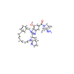 COc1cc(C(=O)N2C[C@@H](C)[C@@H](N)[C@H]2C)cc2nc3n(c12)Cc1cccc(c1)CCCCCCn1c-3cc2cccnc21